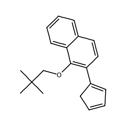 CC(C)(C)COc1c(C2=CC=CC2)ccc2ccccc12